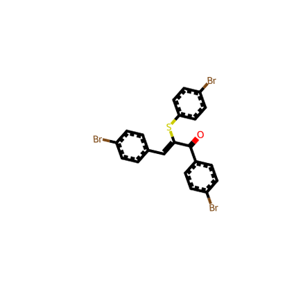 O=C(/C(=C/c1ccc(Br)cc1)Sc1ccc(Br)cc1)c1ccc(Br)cc1